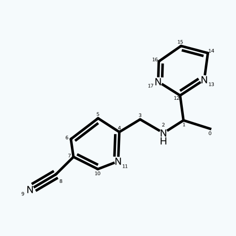 CC(NCc1ccc(C#N)cn1)c1ncccn1